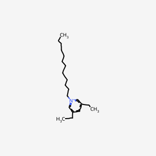 CCCCCCCCCCCC[n+]1cc(CC)cc(CC)c1